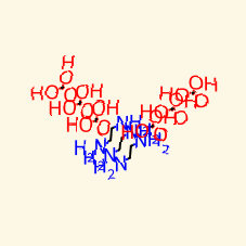 NCCN.NCCN.NCCN.O=C(O)O.O=C(O)O.O=C(O)O.O=C(O)O.O=C(O)O.O=C(O)O